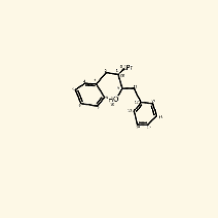 CC(C)[C@H](Cc1ccccc1)C(O)Cc1ccccc1